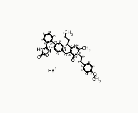 Br.CCCCc1nc(C)n(CCc2ccc(OC)cc2)c(=O)c1Cc1ccc(-c2ccccc2-c2noc(=O)[nH]2)cc1